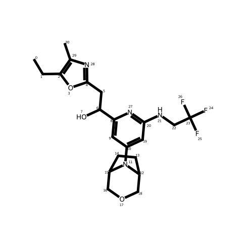 CCc1oc(CC(O)c2cc(N3C4CCC3COC4)cc(NCC(F)(F)F)n2)nc1C